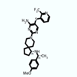 COc1ccc([C@@H](C)N[C@@H]2CCCC23CCN(c2ncc(Sc4cccnc4C(F)(F)F)c(N)n2)CC3)cc1